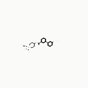 COc1cccc(-c2cccc(C(=O)NC3CCN(P(=O)(OCC(C)(C)C)C(C)(C)C)CC3)c2)c1